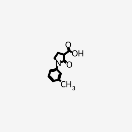 Cc1cccc(N2CCC(C(=O)O)C2=O)c1